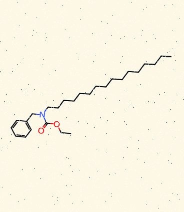 CCCCCCCCCCCCCCCCN(Cc1ccccc1)C(=O)OCC